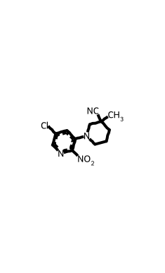 CC1(C#N)CCCN(c2cc(Cl)cnc2[N+](=O)[O-])C1